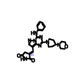 O=C1C/C(=C\c2cnn3c(Nc4ccccc4)nc(N4CCC(N5CCOCC5)CC4)nc23)C(=O)N1